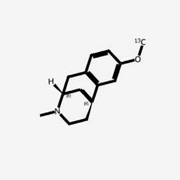 CN1CC[C@]23CCCCC2[C@H]1Cc1ccc(O[13CH3])cc13